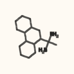 BC(B)(C)C1CC2CCCCC2C2CCCCC21